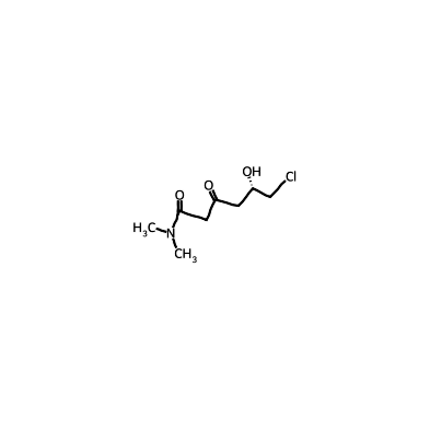 CN(C)C(=O)CC(=O)C[C@H](O)CCl